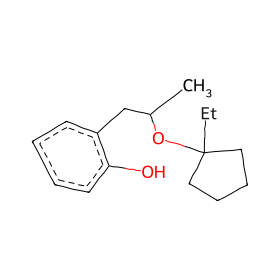 CCC1(OC(C)Cc2ccccc2O)CCCC1